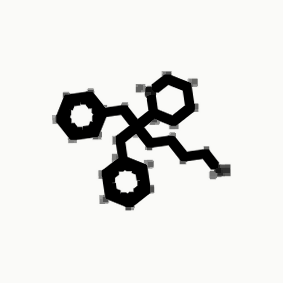 SCCCCC(Cc1ccccc1)(Cc1ccccc1)C1CCCCO1